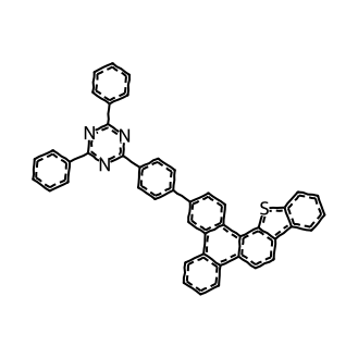 c1ccc(-c2nc(-c3ccccc3)nc(-c3ccc(-c4ccc5c(c4)c4ccccc4c4ccc6c7ccccc7sc6c45)cc3)n2)cc1